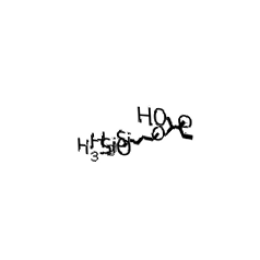 C=CC(=O)C(CO)COCCC[SiH2]O[SiH3]